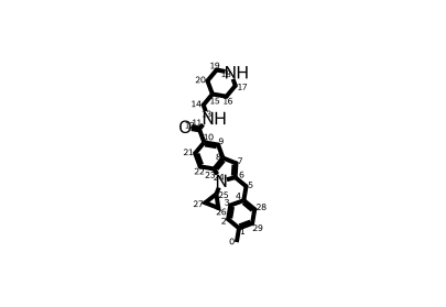 Cc1ccc(Cc2cc3cc(C(=O)NCC4CCNCC4)ccc3n2C2CC2)cc1